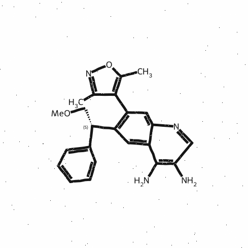 COC[C@@H](c1ccccc1)c1cc2c(N)c(N)cnc2cc1-c1c(C)noc1C